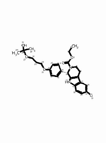 CCOC(=O)N1CCc2c([nH]c3ccc(Cl)cc23)[C@@H]1c1ccc(OCCCOC(C)(C)O)cc1